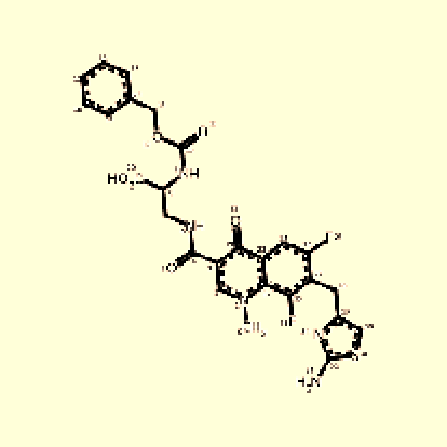 Cn1cc(C(=O)NCC(NC(=O)OCc2ccccc2)C(=O)O)c(=O)c2cc(F)c(Cc3csc(N)n3)c(F)c21